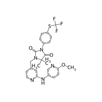 COc1ccc(Nc2cc(CN3C(=O)N(c4ccc(SC(F)(F)F)cc4)C(=O)C3(C)C)ccn2)cn1